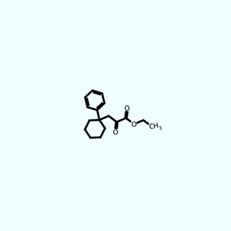 CCOC(=O)C(=O)CC1(c2ccccc2)CCCCC1